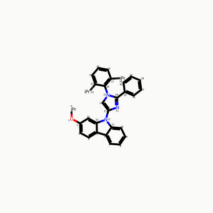 CC(C)Oc1ccc2c3ccccc3n(-c3cn(-c4c(C(C)C)cccc4C(C)C)c(-c4ccccc4)n3)c2c1